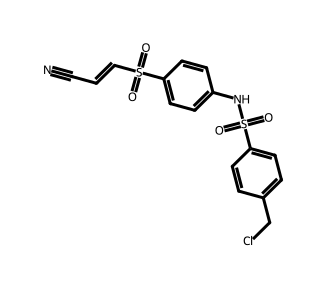 N#CC=CS(=O)(=O)c1ccc(NS(=O)(=O)c2ccc(CCl)cc2)cc1